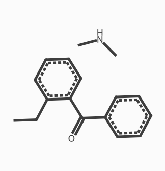 CCc1ccccc1C(=O)c1ccccc1.CNC